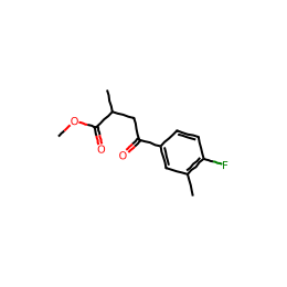 COC(=O)C(C)CC(=O)c1ccc(F)c(C)c1